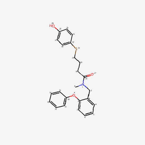 CN(Cc1ccccc1Oc1ccccc1)C(=O)CCCSc1ccc(O)cc1